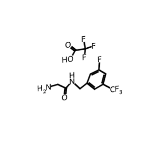 NCC(=O)NCc1cc(F)cc(C(F)(F)F)c1.O=C(O)C(F)(F)F